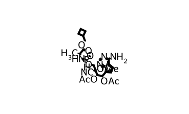 CO[C@](C#N)(CO[PH](=O)N[C@@H](C)C(=O)OCC1CCC1)[C@@H](OC(C)=O)[C@@H](OC(C)=O)c1ccc2c(N)ncnn12